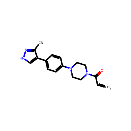 C=CC(=O)N1CCN(c2ccc(-c3c[nH]nc3C#N)cc2)CC1